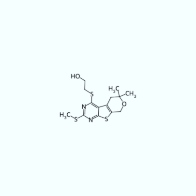 CSc1nc(SCCO)c2c3c(sc2n1)COC(C)(C)C3